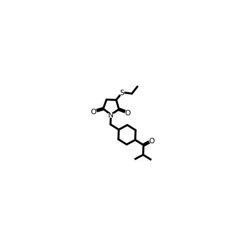 CCSC1CC(=O)N(CC2CCC(C(=O)C(C)C)CC2)C1=O